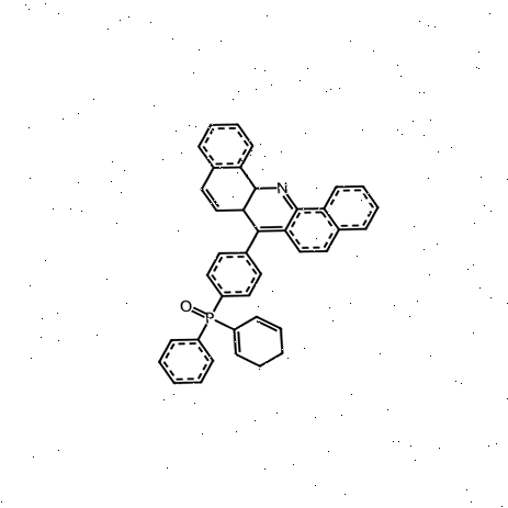 O=P(C1=CCCC=C1)(c1ccccc1)c1ccc(C2=c3ccc4ccccc4c3=NC3c4ccccc4C=CC23)cc1